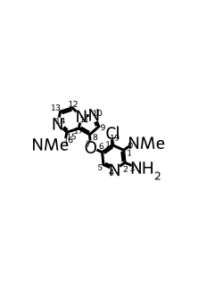 CNc1c(N)ncc(Oc2cnn3ccnc(NC)c23)c1Cl